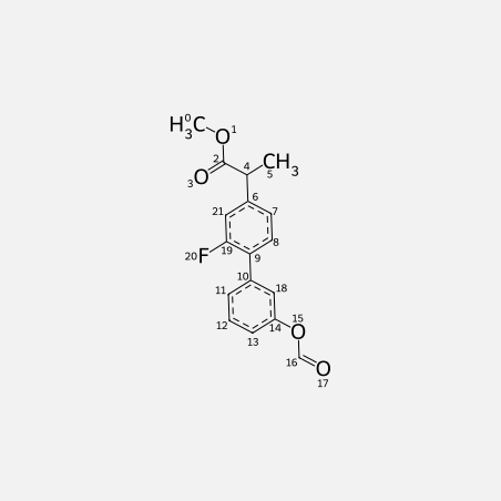 COC(=O)C(C)c1ccc(-c2cccc(OC=O)c2)c(F)c1